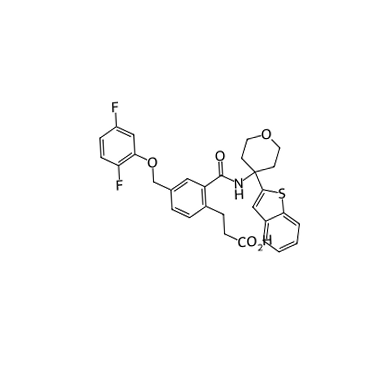 O=C(O)CCc1ccc(COc2cc(F)ccc2F)cc1C(=O)NC1(c2cc3ccccc3s2)CCOCC1